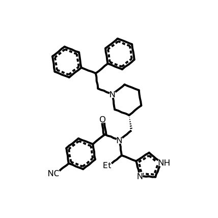 CCC(c1c[nH]cn1)N(C[C@H]1CCCN(CC(c2ccccc2)c2ccccc2)C1)C(=O)c1ccc(C#N)cc1